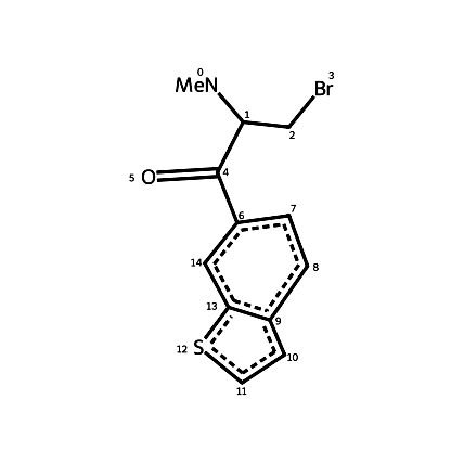 CNC(CBr)C(=O)c1ccc2ccsc2c1